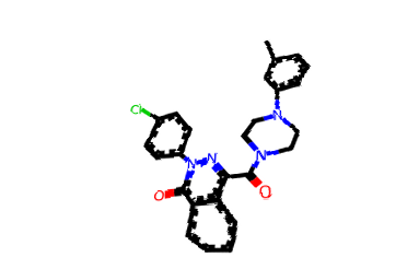 Cc1cccc(N2CCN(C(=O)c3nn(-c4ccc(Cl)cc4)c(=O)c4ccccc34)CC2)c1